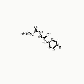 CCCCCCOC(=O)N=NC(=O)Oc1ccc(C)cc1